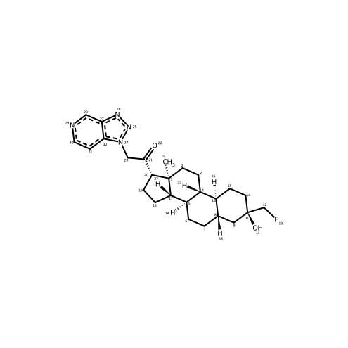 C[C@]12CC[C@H]3[C@@H](CC[C@H]4C[C@@](O)(CF)CC[C@@H]43)[C@@H]1CC[C@@H]2C(=O)Cn1nnc2cnccc21